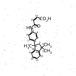 CC1(C)CC(C)(c2ccc(NC(=O)/C=C\C(=O)O)cc2)c2ccccc21